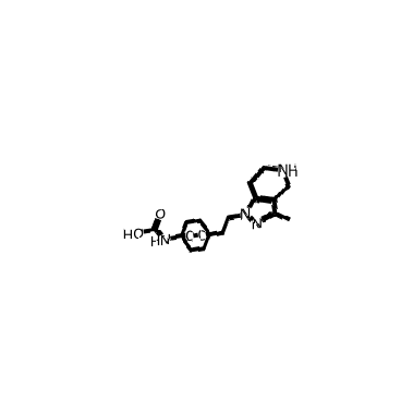 Cc1nn(CCC23CCC(NC(=O)O)(CC2)CC3)c2c1CNCC2